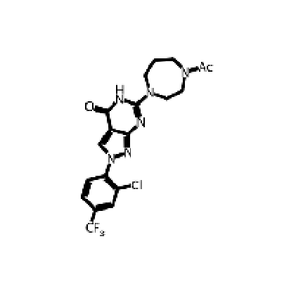 CC(=O)N1CCCN(c2nc3nn(-c4ccc(C(F)(F)F)cc4Cl)cc3c(=O)[nH]2)CC1